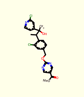 COC(=O)c1cnc(OCc2ccc(C(C)C(O)(c3ccnc(Cl)c3)C(F)(F)F)c(Cl)c2)nc1